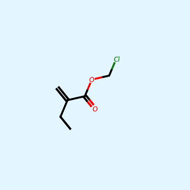 C=C(CC)C(=O)OCCl